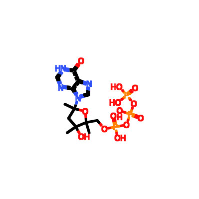 CC1(n2cnc3c(=O)[nH]cnc32)CC(C)(O)C(C)(COP(=O)(O)OP(=O)(O)OP(=O)(O)O)O1